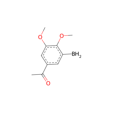 Bc1cc(C(C)=O)cc(OC)c1OC